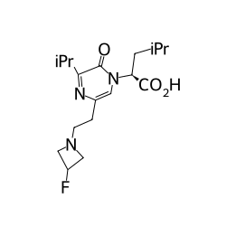 CC(C)C[C@@H](C(=O)O)n1cc(CCN2CC(F)C2)nc(C(C)C)c1=O